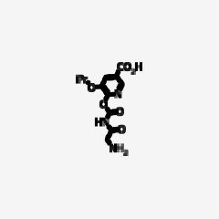 CC(C)Oc1cc(C(=O)O)cnc1OC(=O)NC(=O)CN